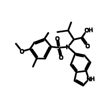 COc1cc(C)c(S(=O)(=O)N(c2ccc3[nH]ccc3c2)C(C(=O)O)C(C)C)cc1C